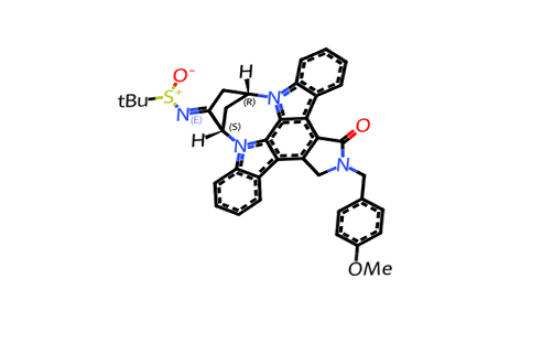 COc1ccc(CN2Cc3c(c4c5ccccc5n5c4c4c3c3ccccc3n4[C@H]3C[C@@H]5C/C3=N\[S+]([O-])C(C)(C)C)C2=O)cc1